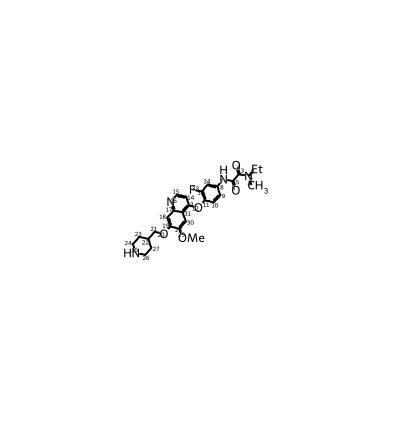 CCN(C)C(=O)C(=O)Nc1ccc(Oc2ccnc3cc(OCC4CCNCC4)c(OC)cc23)c(F)c1